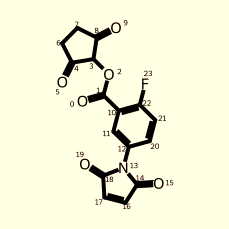 O=C(OC1C(=O)CCC1=O)c1cc(N2C(=O)C=CC2=O)ccc1F